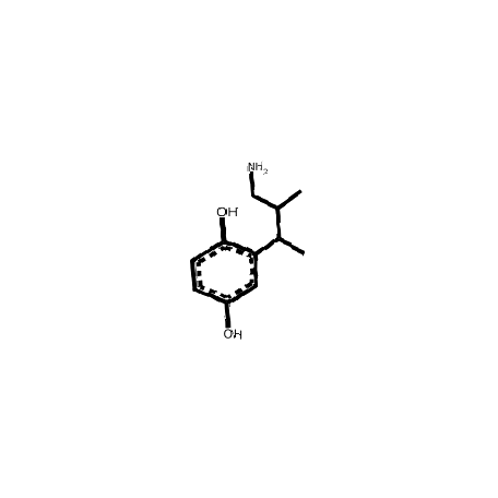 CC(CN)C(C)c1cc(O)ccc1O